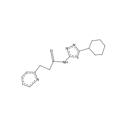 O=C(CCc1ccccn1)Nc1nnc(C2CCCCC2)s1